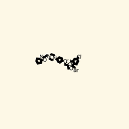 Clc1ccc(C2(CBr)OCC(COc3ccc(N4CCN(Cc5nc6ccccc6o5)CC4)cc3)O2)c(Cl)c1